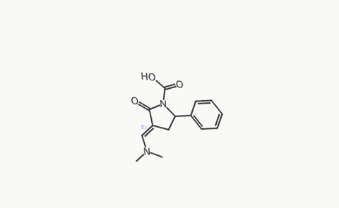 CN(C)/C=C1\CC(c2ccccc2)N(C(=O)O)C1=O